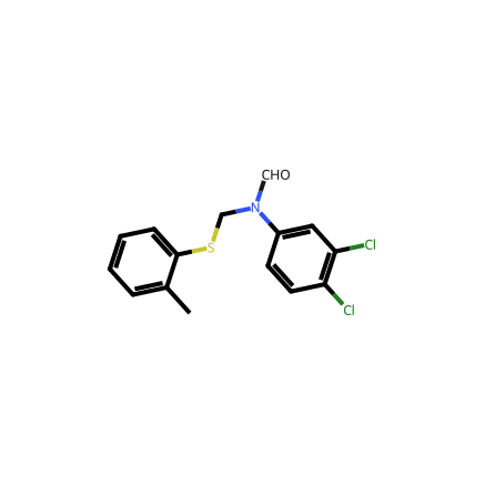 Cc1ccccc1SCN(C=O)c1ccc(Cl)c(Cl)c1